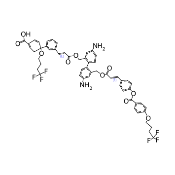 Nc1ccc(-c2ccc(N)cc2COC(=O)/C=C/c2cccc(C3(OCCCC(F)(F)F)C=CC(C(=O)O)=CC3)c2)c(COC(=O)/C=C/c2ccc(OC(=O)c3ccc(OCCCC(F)(F)F)cc3)cc2)c1